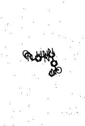 O=C(c1ccc(-c2ccnc3[nH]c(-c4ccc(CN5CCOCC5)cc4)nc23)cc1)N1CCCC1